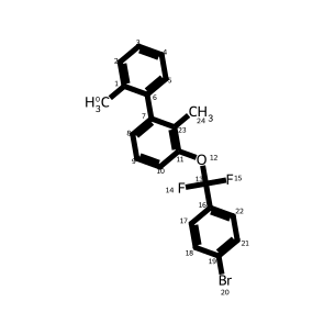 Cc1ccccc1-c1cccc(OC(F)(F)c2ccc(Br)cc2)c1C